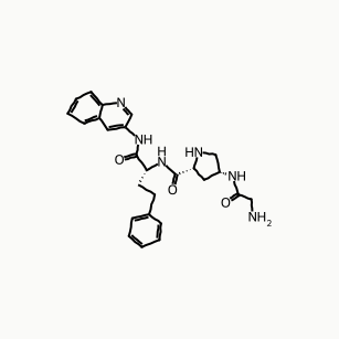 NCC(=O)N[C@H]1CN[C@@H](C(=O)N[C@H](CCc2ccccc2)C(=O)Nc2cnc3ccccc3c2)C1